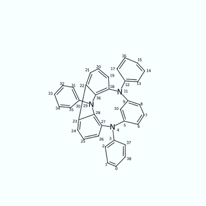 c1ccc(N2c3cccc(c3)N(c3ccccc3)c3cccc4c5cccc2c5n(-c2ccccc2)c34)cc1